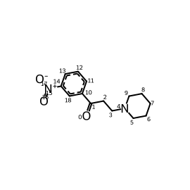 O=C(CCN1CCCCC1)c1cccc([N+](=O)[O-])c1